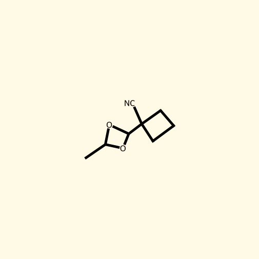 CC1OC(C2(C#N)CCC2)O1